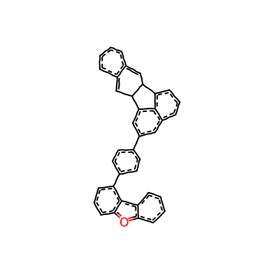 C1=c2ccccc2=CC2c3cc(-c4ccc(-c5cccc6oc7ccccc7c56)cc4)cc4cccc(c34)C12